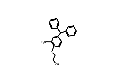 Nc1cc(C(c2ccccc2)c2ccccc2)ccc1SCCO